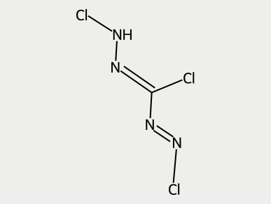 ClN=NC(Cl)=NNCl